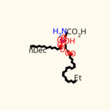 CC/C=C\C/C=C\C/C=C\C/C=C\C/C=C\CCCC(=O)OC[C@H](COP(=O)(O)OC[C@H](N)C(=O)O)OC(=O)CCCCCCCCC/C=C\CCCCCCCCCC